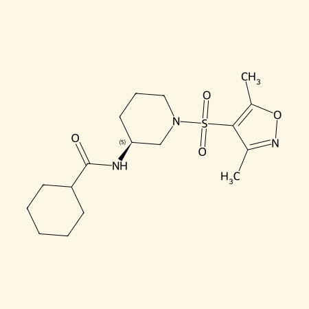 Cc1noc(C)c1S(=O)(=O)N1CCC[C@H](NC(=O)C2CCCCC2)C1